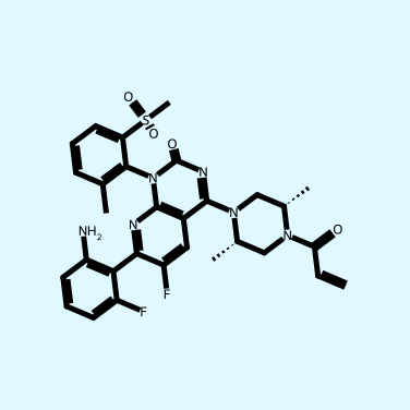 C=CC(=O)N1C[C@H](C)N(c2nc(=O)n(-c3c(C)cccc3S(C)(=O)=O)c3nc(-c4c(N)cccc4F)c(F)cc23)C[C@@H]1C